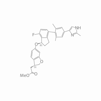 COC(=O)C[C@@H]1COc2cc(O[C@@H]3CCc4c(-c5c(C)cc(-c6c[nH]c(C)n6)cc5C)ccc(F)c43)ccc21